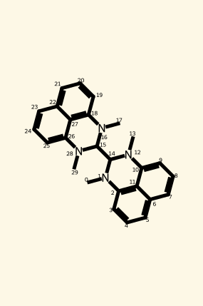 CN1c2cccc3cccc(c23)N(C)C1C1N(C)c2cccc3cccc(c23)N1C